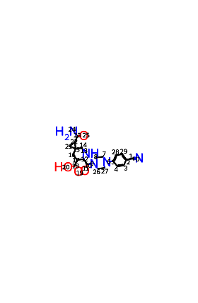 N#Cc1ccc(N2CCN(C(=O)C3NCC4(CC3C(=O)O)CC4C(N)=O)CC2)cc1